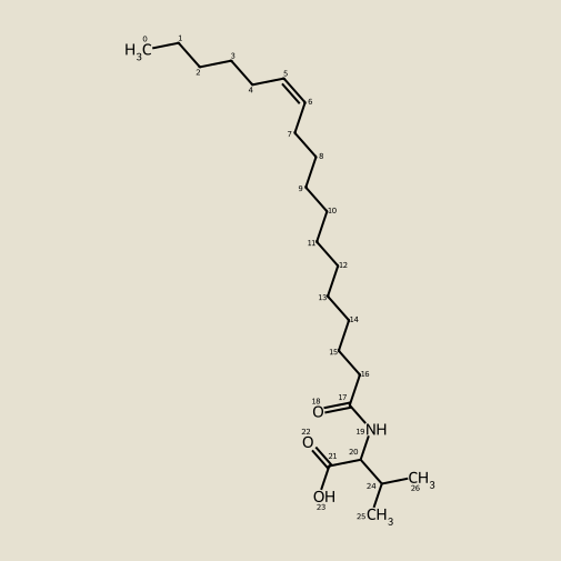 CCCCC/C=C\CCCCCCCCCCC(=O)NC(C(=O)O)C(C)C